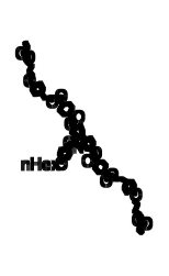 C=CC(=O)OCCCCOc1ccc(CCOC(=O)C2CCC(C(=O)Oc3ccc4c(c3)nc(Oc3ccc(OCCCCCC)cc3)c3cc(OC(=O)C5CCC(C(=O)OCCc6ccc(OCCCCOC(=O)C=C)cc6)CC5)ccc34)CC2)cc1